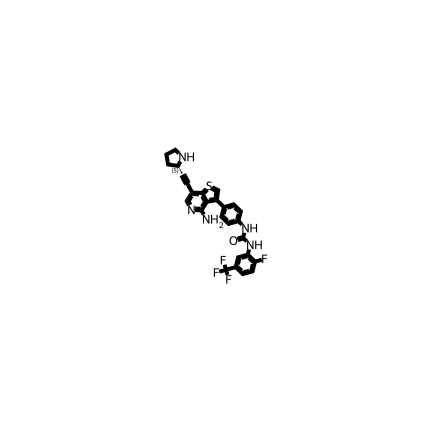 Nc1ncc(C#C[C@@H]2CCCN2)c2scc(-c3ccc(NC(=O)Nc4cc(C(F)(F)F)ccc4F)cc3)c12